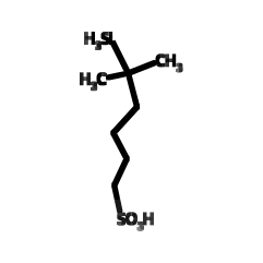 CC(C)([SiH3])CCCCS(=O)(=O)O